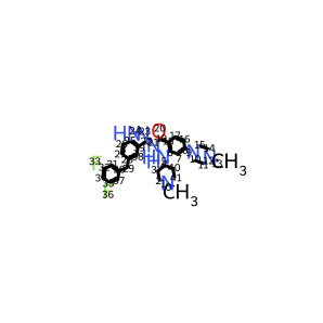 CN1CCC(Nc2cc(N3CCN(C)CC3)ccc2C(=O)Nc2n[nH]c3ccc(Cc4cc(F)cc(F)c4)cc23)CC1